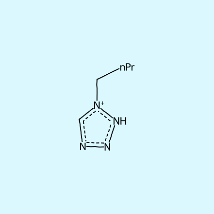 CCCC[n+]1cnn[nH]1